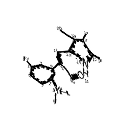 CNc1ccc(F)cc1/C(C=O)=C/c1[nH]c(C)c(C)c1C